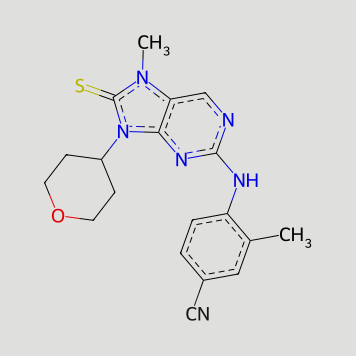 Cc1cc(C#N)ccc1Nc1ncc2c(n1)n(C1CCOCC1)c(=S)n2C